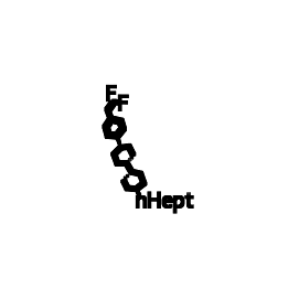 CCCCCCC[C@H]1CC[C@H]([C@H]2CC[C@H](c3ccc(C=C(F)F)cc3)CC2)CC1